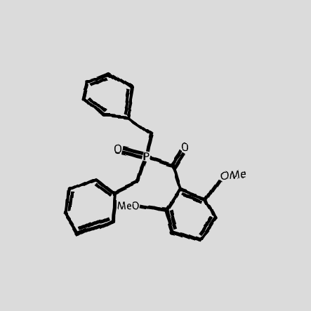 COc1cccc(OC)c1C(=O)P(=O)(Cc1ccccc1)Cc1ccccc1